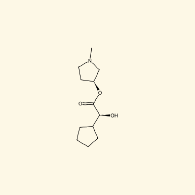 CN1CC[C@H](OC(=O)[C@@H](O)C2CCCC2)C1